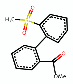 COC(=O)c1ccccc1-c1ccccc1S(C)(=O)=O